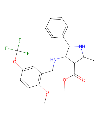 COC(=O)C1C(C)NC(c2ccccc2)[C@H]1NCc1cc(OC(F)(F)F)ccc1OC